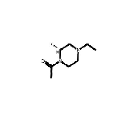 CCN1CCN(C(C)=O)[C@H](C)C1